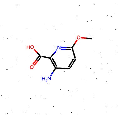 COc1ccc(N)c(C(=O)O)n1